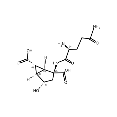 NC(=O)CC[C@H](N)C(=O)N[C@@]1(C(=O)O)C[C@H](O)[C@H]2[C@H](C(=O)O)[C@H]21